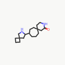 O=C1CC2(CCCC(C3CC4(CCC4)CN3)CC2)CCN1